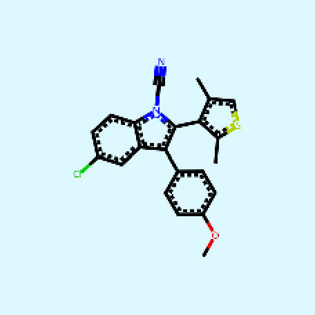 COc1ccc(-c2c(-c3c(C)csc3C)n(C#N)c3ccc(Cl)cc23)cc1